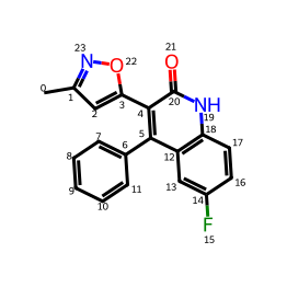 Cc1cc(-c2c(-c3ccccc3)c3cc(F)ccc3[nH]c2=O)on1